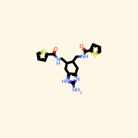 Nc1nc2c([nH]1)CC(CNC(=O)c1cccs1)C(CNC(=O)c1cccs1)C2